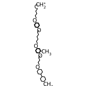 [CH2+][CH-]CCCCCOc1ccc(OCCCCCCOc2ccc(OCCCCOC3CCC(C4CCC(C)CC4)CC3)c(C)c2)cc1